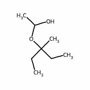 CCC(C)(CC)OC(C)O